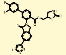 O=C1NCC(COC(=O)c2ccc(-c3ccc(F)c(F)c3)cc2N2Cc3ccc(-c4c[nH]nn4)cc3C2=O)O1